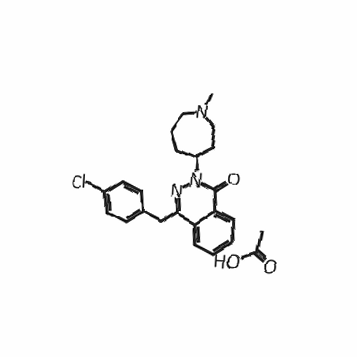 CC(=O)O.CN1CCC[C@H](n2nc(Cc3ccc(Cl)cc3)c3ccccc3c2=O)CC1